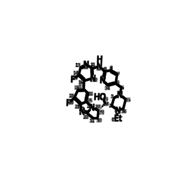 CCN1CCN(Cc2ccc(Nc3ncc(F)c(-c4cc(F)c5nc6n(c5c4)[C@H](CO)CC6)n3)nc2)CC1